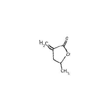 C=C1CC(C)OC1=O